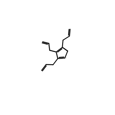 C=CCC1=[C]CC(CC=C)=C1CC=C